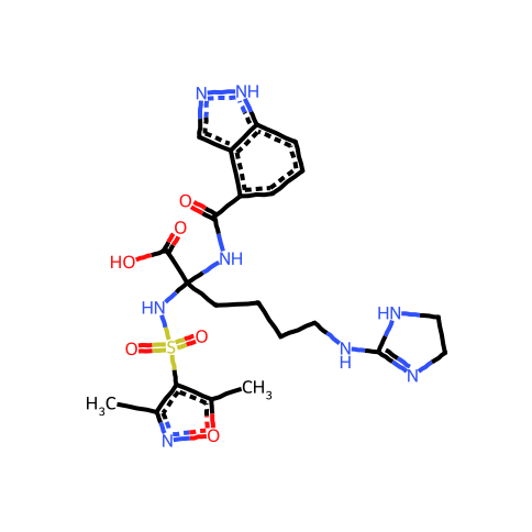 Cc1noc(C)c1S(=O)(=O)NC(CCCCNC1=NCCN1)(NC(=O)c1cccc2[nH]ncc12)C(=O)O